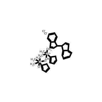 C1=CC(C2C=Cc3ccccc32)c2ccccc21.[CH3][Zr+2]([CH3])([CH3])([CH3])[C]1=CC=CC1.[CH3][Zr]([CH3])([CH3])([Cl])([Cl])[C]1=CC=CC1.[Cl-].[Cl-]